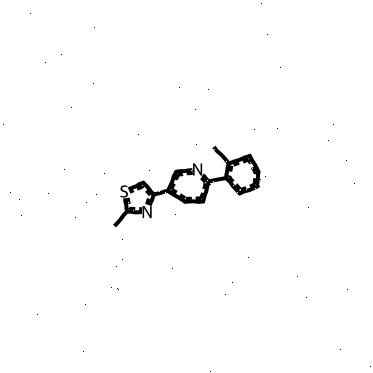 Cc1nc(-c2ccc(-c3ccccc3C)nc2)cs1